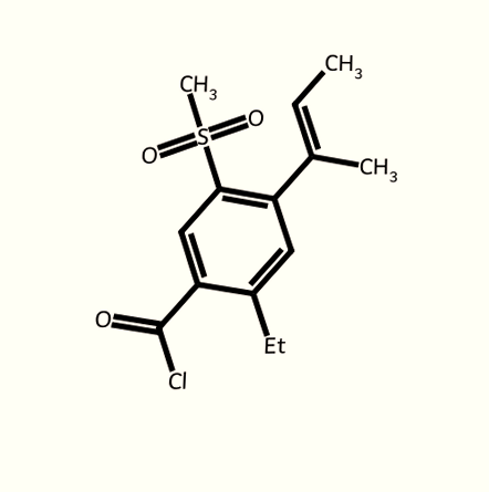 CC=C(C)c1cc(CC)c(C(=O)Cl)cc1S(C)(=O)=O